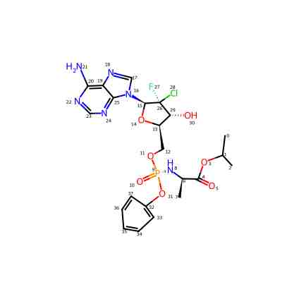 CC(C)OC(=O)[C@@H](C)N[P@](=O)(OC[C@H]1O[C@@H](n2cnc3c(N)ncnc32)[C@@](F)(Cl)[C@@H]1O)Oc1ccccc1